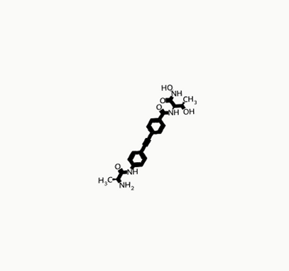 C[C@H](N)C(=O)Nc1ccc(C#Cc2ccc(C(=O)N[C@H](C(=O)NO)[C@@H](C)O)cc2)cc1